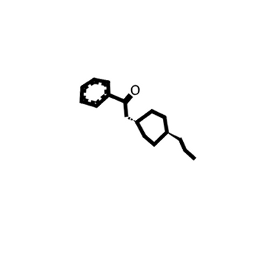 CCC[C@H]1CC[C@H](CC(=O)c2ccccc2)CC1